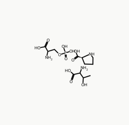 CC(O)C(N)C(=O)O.NC(COP(=O)(O)O)C(=O)O.O=C(O)[C@@H]1CCCN1